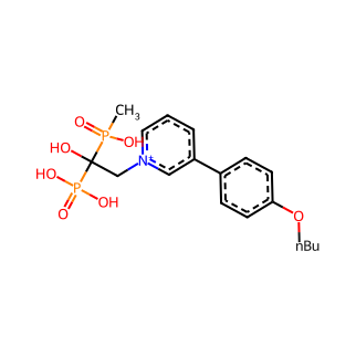 CCCCOc1ccc(-c2ccc[n+](CC(O)(P(C)(=O)O)P(=O)(O)O)c2)cc1